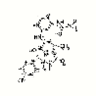 Cc1cc(Nc2cc(NC(=O)C3CC3)ncn2)c(=O)n2c1C(=O)NC21Cc2ccc(Cl)cc2C1